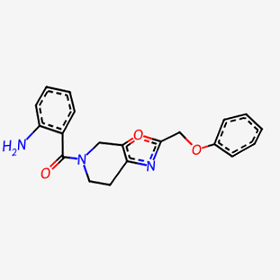 Nc1ccccc1C(=O)N1CCc2nc(COc3ccccc3)oc2C1